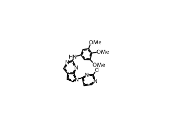 COc1cc(Nc2ncc3ccn(-c4ccnc(Cl)n4)c3n2)cc(OC)c1OC